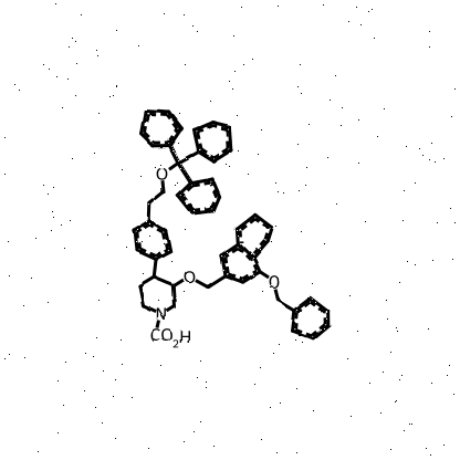 O=C(O)N1CCC(c2ccc(CCOC(c3ccccc3)(c3ccccc3)c3ccccc3)cc2)C(OCc2cc(OCc3ccccc3)c3ccccc3c2)C1